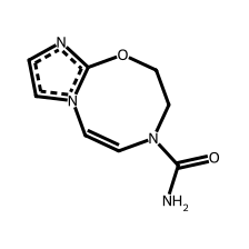 NC(=O)N1C=Cn2ccnc2OCC1